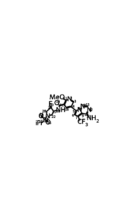 COc1ncc(-c2cc(C(F)(F)F)c3c(N)ncnn23)cc1C(=O)NC1CN(S(=O)(=O)C(C)C)CC1F